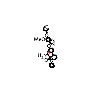 COc1cc2c(Oc3ccc(C4CCCn5c4c(C(N)=O)c(=O)n5-c4ccccc4)cc3)ncnc2cc1OCc1ccccc1